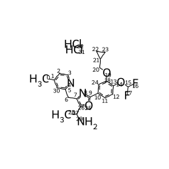 Cc1ccnc(Cc2nc(-c3ccc(OC(F)F)c(OCC4CC4)c3)oc2C(C)N)c1.Cl.Cl